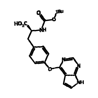 CC(C)(C)OC(=O)N[C@@H](Cc1ccc(Oc2ncnc3[nH]ccc23)cc1)C(=O)O